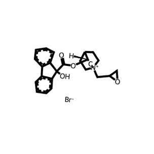 O=C(O[C@H]1C[N+]2(CC3CO3)CCC1CC2)C1(O)c2ccccc2-c2ccccc21.[Br-]